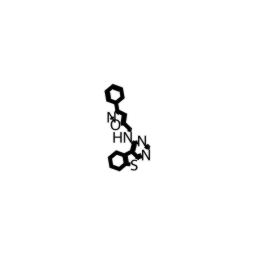 C1=CCC(c2cc(CNc3ncnc4sc5c(c34)CCCC5)on2)C=C1